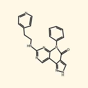 O=c1c2c[nH]nc2c2cnc(NCCc3ccncc3)nc2n1-c1ccccc1